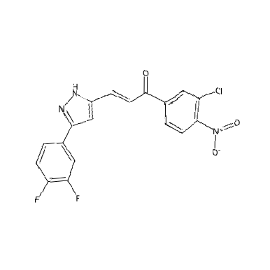 O=C(C=Cc1cc(-c2ccc(F)c(F)c2)n[nH]1)c1ccc([N+](=O)[O-])c(Cl)c1